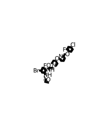 O=C(CN1CCC(Oc2cccc(COc3ccc(Cl)cc3F)n2)CC1)Nc1c(F)cc(Br)cc1NC[C@@H]1CCO1